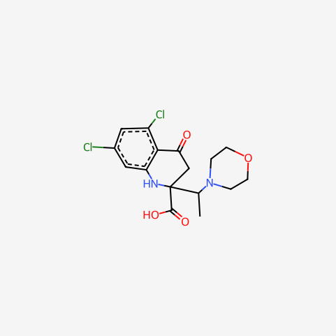 CC(N1CCOCC1)C1(C(=O)O)CC(=O)c2c(Cl)cc(Cl)cc2N1